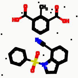 Cc1c(C(=O)O)cccc1C(=O)O.N#Cc1cccc2ccn(S(=O)(=O)c3ccccc3)c12